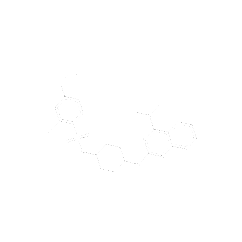 CN(C)c1nc(NC2CCC(NS(=O)(=O)c3ccc(OC(F)(F)F)cc3Br)CC2)nc2ccccc12